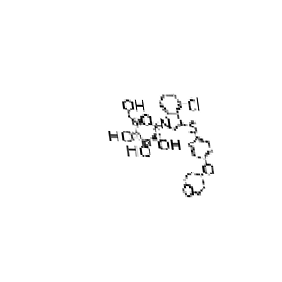 OC[C@H]1O[C@@H](n2cc(Sc3ccc(OC4CCOCC4)cc3)c3c(Cl)cccc32)[C@H](O)[C@@H](O)[C@@H]1O